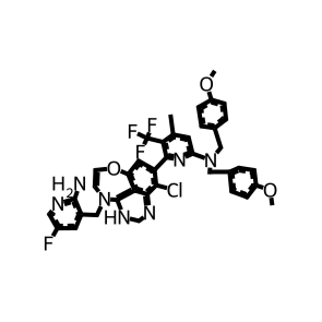 COc1ccc(CN(Cc2ccc(OC)cc2)c2cc(C)c(C(F)(F)F)c(-c3cc4c5c(c3Cl)=NCNC=5N(Cc3cc(F)cnc3N)C=CO4)n2)cc1